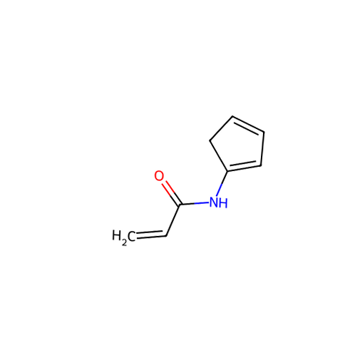 C=CC(=O)NC1=CC=CC1